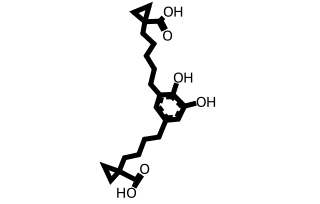 O=C(O)C1(CCCCCc2cc(CCCCC3(C(=O)O)CC3)cc(O)c2O)CC1